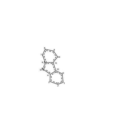 [c]1cccc2nn3[c]cccc3c12